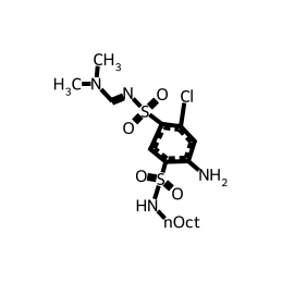 CCCCCCCCNS(=O)(=O)c1cc(S(=O)(=O)N=CN(C)C)c(Cl)cc1N